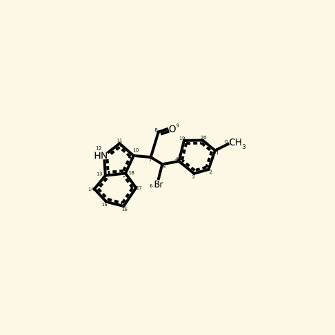 Cc1ccc(C(Br)C(C=O)c2c[nH]c3ccccc23)cc1